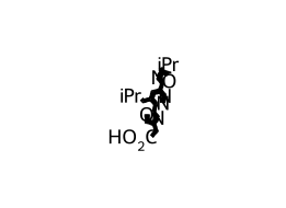 CC(C)Cc1cc(-c2nc(C(C)C)co2)nnc1-c1nc(CC(=O)O)co1